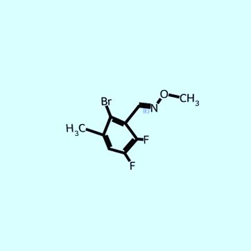 CO/N=C/c1c(F)c(F)cc(C)c1Br